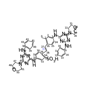 Cc1cc(Nc2nc(Nc3ccccc3)nc(N3CCOCC3)n2)ccc1/C=C/c1ccc(Nc2nc(Nc3ccccc3)nc(N3CCOCC3)n2)cc1S(=O)(=O)O